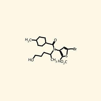 CC1CCC(C(=O)N(c2cc(Br)sc2C(=O)O)C(C)CCCO)CC1